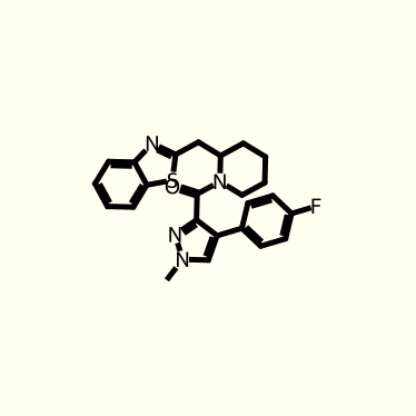 Cn1cc(-c2ccc(F)cc2)c(C(=O)N2CCCCC2Cc2nc3ccccc3s2)n1